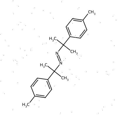 Cc1ccc(C(C)(C)N=NC(C)(C)c2ccc(C)cc2)cc1